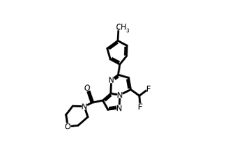 Cc1ccc(-c2cc(C(F)F)n3ncc(C(=O)N4CCOCC4)c3n2)cc1